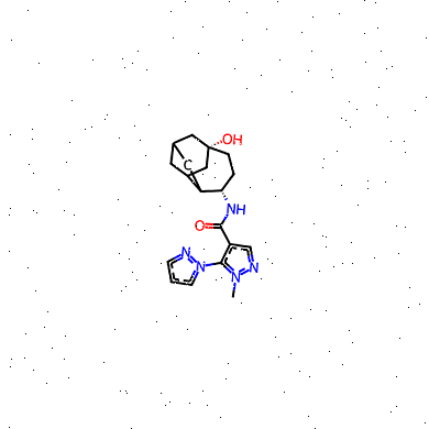 Cn1ncc(C(=O)N[C@H]2CC[C@]3(O)CC4CC(C3)C2C4)c1-n1cccn1